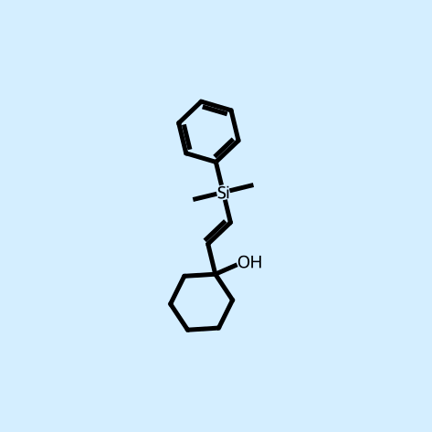 C[Si](C)(C=CC1(O)CCCCC1)c1ccccc1